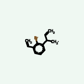 [CH2]C(C=C)c1cccc(C=C)c1Br